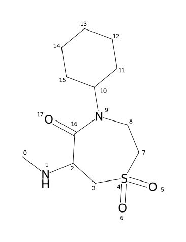 CNC1CS(=O)(=O)CCN(C2CCCCC2)C1=O